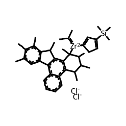 C[C](C)=[Zr+2]([C]1=CC([Si](C)(C)C)=CC1)[C]1(C)c2c3c(c4ccccc4c2C(C)C(C)C1C)-c1cc(C)c(C)c(C)c1C3C.[Cl-].[Cl-]